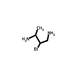 CCC(CN)C(C)N